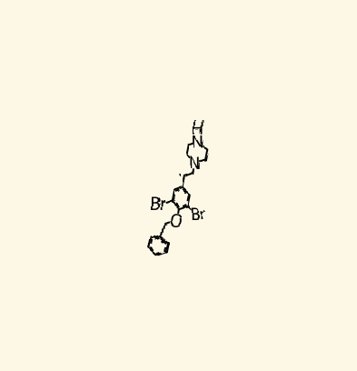 Brc1cc([CH]CN2CCNCC2)cc(Br)c1OCc1ccccc1